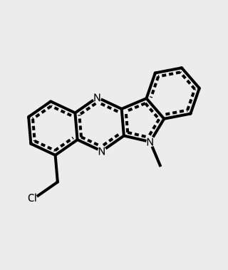 Cn1c2ccccc2c2nc3cccc(CCl)c3nc21